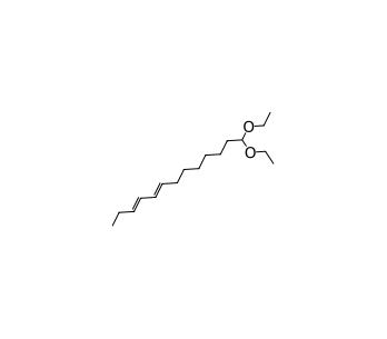 CCC=CC=CCCCCCCC(OCC)OCC